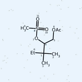 CCC(C)(C)C(COC(C)=O)OS(C)(=O)=O